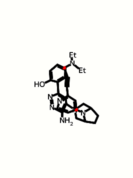 CCN(CC)CC#Cc1cc(N2C3CCC2CN(c2cc(-c4ccccc4O)nnc2N)C3)ccn1